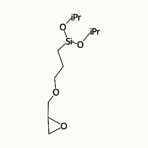 CC(C)O[Si](CCCOCC1CO1)OC(C)C